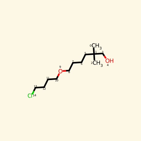 CC(C)(CO)CCCCOCCCCCl